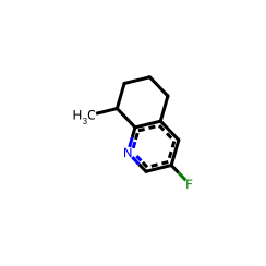 CC1CCCc2cc(F)cnc21